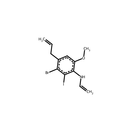 C=CCc1cc(OC)c(NC=C)c(I)c1Br